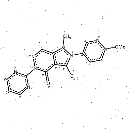 COc1ccc(-n2c(C)c3cnn(-c4ncccn4)c(=O)c3c2C)cn1